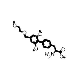 COCCOCc1cc(OC)c(-c2ccc(C[C@H](N)C(=O)OC)cc2)c(OC)c1